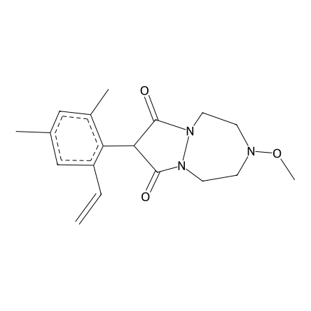 C=Cc1cc(C)cc(C)c1C1C(=O)N2CCN(OC)CCN2C1=O